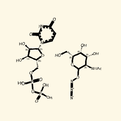 CC(=O)N[C@H]1C(ON=[N+]=[N-])O[C@H](CO)[C@H](O)[C@@H]1O.O=c1ccn([C@@H]2O[C@H](COP(=O)(O)OP(=O)(O)O)[C@@H](O)[C@H]2O)c(=O)[nH]1